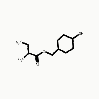 CCC(C)C(=O)OCC1CCC(O)CC1